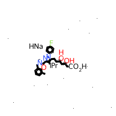 Cc1cccc(CN(C)C(=O)c2nn(-c3ccc(F)cc3)c(CC[C@@H](O)C[C@@H](O)CC(=O)O)c2C(C)C)c1.[NaH]